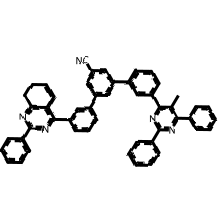 Cc1c(-c2ccccc2)nc(-c2ccccc2)nc1-c1cccc(-c2cc(C#N)cc(-c3cccc(-c4nc(-c5ccccc5)nc5c4C=CCC5)c3)c2)c1